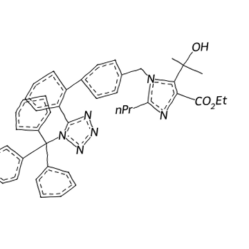 CCCc1nc(C(=O)OCC)c(C(C)(C)O)n1Cc1ccc(-c2ccccc2-c2nnnn2C(c2ccccc2)(c2ccccc2)c2ccccc2)cc1